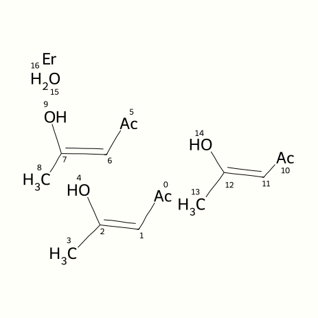 CC(=O)C=C(C)O.CC(=O)C=C(C)O.CC(=O)C=C(C)O.O.[Er]